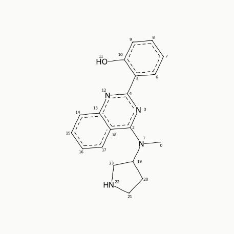 CN(c1nc(-c2ccccc2O)nc2ccccc12)C1CCNC1